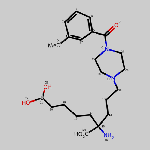 COc1cccc(C(=O)N2CCN(CCCC(N)(CCCCB(O)O)C(=O)O)CC2)c1